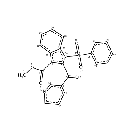 COC(=O)c1c(C(=O)c2cccnc2)n(S(=O)(=O)c2ccccc2)c2ccccc12